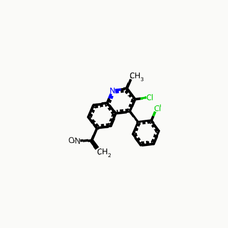 C=C(N=O)c1ccc2nc(C)c(Cl)c(-c3ccccc3Cl)c2c1